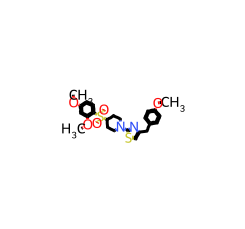 COc1ccc(Cc2csc(N3CCC(S(=O)(=O)c4ccc(OC)cc4OC)CC3)n2)cc1